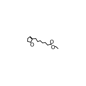 CCOC(=O)CCCCCCC1=CCCC1=O